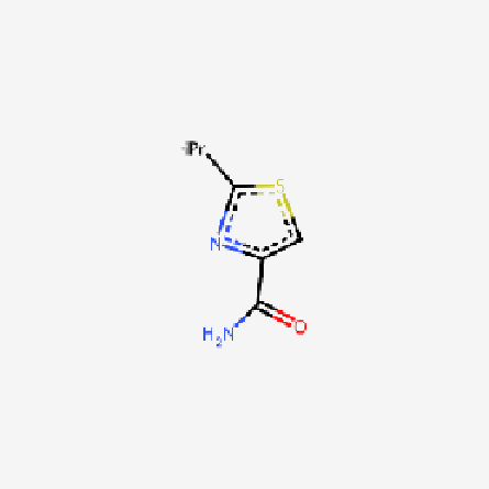 C[C](C)c1nc(C(N)=O)cs1